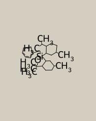 CCO[Si](Cc1ccccc1)(C1CC(C)CCC1C(C)C)C1CC(C)CCC1C(C)C